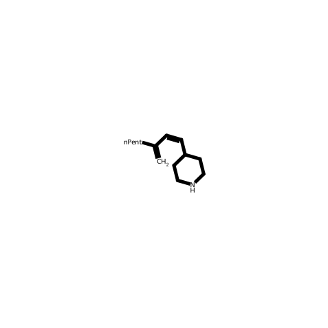 C=C(/C=C\C1CCNCC1)CCCCC